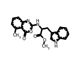 COC(=O)C(Cc1c[nH]c2ccccc12)Nc1nc2cccc(C)c2c(=O)o1